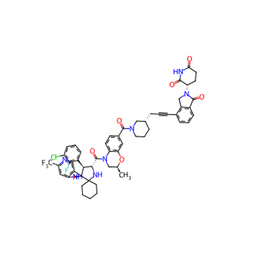 C[C@H]1CN(C(=O)[C@@H]2NC3(CCCCC3)[C@@]3(CNc4cc(C(F)(F)F)ncc43)[C@H]2c2cccc(Cl)c2F)c2ccc(C(=O)N3CCC[C@@H](CC#Cc4cccc5c4CN([C@H]4CCC(=O)NC4=O)C5=O)C3)cc2O1